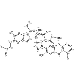 Cc1cc(Oc2c(F)cccc2F)ncc1-n1ncc(C(=O)c2cc3cc(OCC(F)F)c(Br)cc3n2C(=O)OC(C)(C)C)c1N(C(=O)OC(C)(C)C)C(=O)OC(C)(C)C